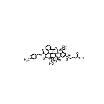 Cc1ccc(COC(=O)c2c3c4c(c(Nc5c(S(=O)(=O)O)cc(S(=O)(=O)CCCC(=O)O)cc5S(=O)(=O)O)cc(S(=O)(=O)O)c4[nH]c2=O)C(=O)c2ccccc2-3)cc1